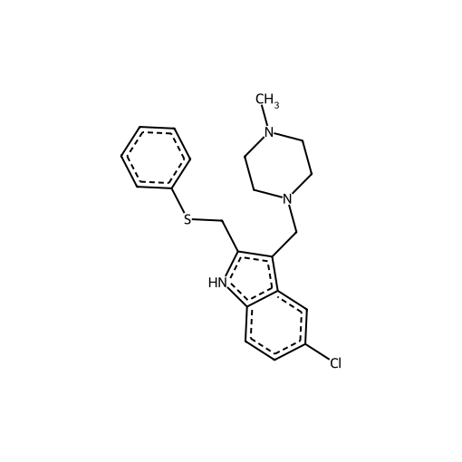 CN1CCN(Cc2c(CSc3ccccc3)[nH]c3ccc(Cl)cc23)CC1